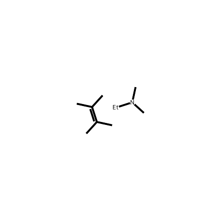 CC(C)=C(C)C.CCN(C)C